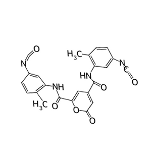 Cc1ccc(N=C=O)cc1NC(=O)c1cc(C(=O)Nc2cc(N=C=O)ccc2C)oc(=O)c1